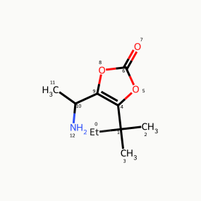 CCC(C)(C)c1oc(=O)oc1C(C)N